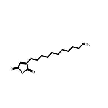 CCCCCCCCCCCCCCCCCCCCC1=CC(=O)OC1=O